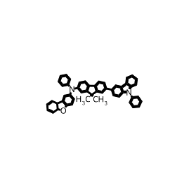 CC1(C)c2cc(-c3ccc4c(c3)c3ccccc3n4-c3ccccc3)ccc2-c2ccc(N(c3ccccc3)c3ccc4c(c3)C3C=CC=CC3O4)cc21